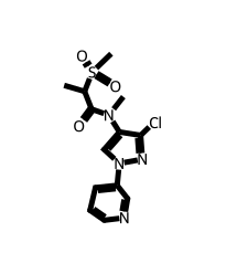 CC(C(=O)N(C)c1cn(-c2cccnc2)nc1Cl)S(C)(=O)=O